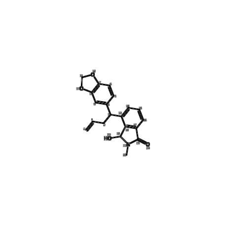 C=CCC(c1ccc2c(c1)OCO2)c1cccc2c1C(O)N(C)C2=O